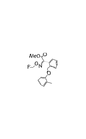 COC(=O)C(=NOCF)c1ccccc1COc1ccccc1C